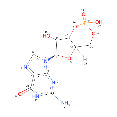 Nc1nc2c(ncn2[C@@H]2O[C@@H]3COP(=O)(O)OC3C2O)c(=O)[nH]1